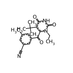 CCn1c(C(=O)c2cc(C)cc(C#N)c2)c(C(C)(C)C)c(=O)[nH]c1=O